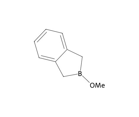 COB1Cc2ccccc2C1